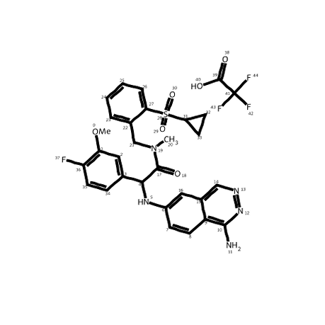 COc1cc(C(Nc2ccc3c(N)nncc3c2)C(=O)N(C)Cc2ccccc2S(=O)(=O)C2CC2)ccc1F.O=C(O)C(F)(F)F